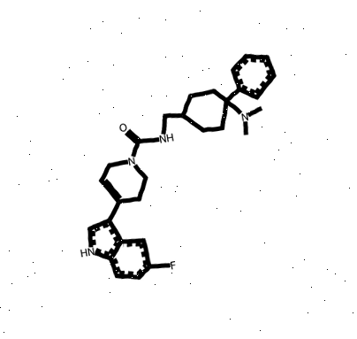 CN(C)C1(c2ccccc2)CCC(CNC(=O)N2CC=C(c3c[nH]c4ccc(F)cc34)CC2)CC1